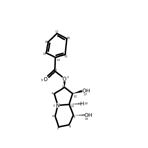 O=C(O[C@@H]1CN2CCC[C@@H](O)[C@@H]2[C@@H]1O)c1ccccc1